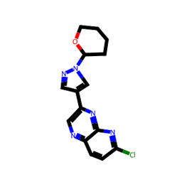 Clc1ccc2ncc(-c3cnn(C4CCCCO4)c3)nc2n1